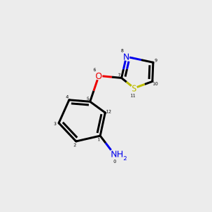 Nc1cccc(Oc2nccs2)c1